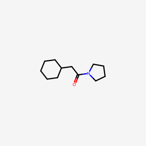 O=C(CC1CCCCC1)N1CCCC1